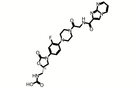 O=C(O)NC[C@H]1CN(c2ccc(N3CCN(C(=O)CNC(=O)c4cn5cccnc5n4)CC3)c(F)c2)C(=O)O1